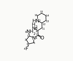 N[C@@H]1C[C@H](F)CN1C(=O)[C@@H](N)CC1CCCCN1